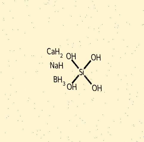 B.O[Si](O)(O)O.[CaH2].[NaH]